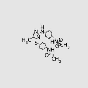 C=CC(=O)Nc1ccc(Sc2nc(Nc3ccc(CNS(C)(=O)=O)cc3)ncc2C)cc1